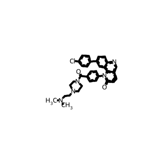 CN(C)CCN1CCN(C(=O)c2ccc(-n3c(=O)c#cc4cnc5ccc(-c6ccc(Cl)cc6)cc5c43)cc2)CC1